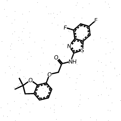 CC1(C)Cc2cccc(OCC(=O)Nc3nc4c(F)cc(F)cc4s3)c2O1